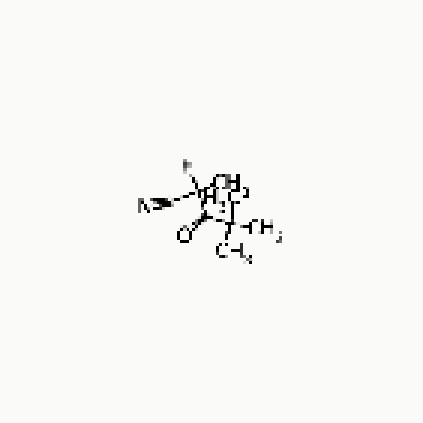 CC(C)(C)C(=O)C(C)(F)C#N